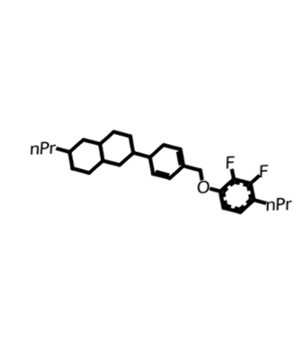 CCCc1ccc(OCC2=CCC(C3CCC4CC(CCC)CCC4C3)C=C2)c(F)c1F